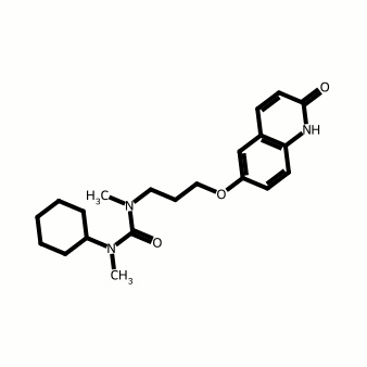 CN(CCCOc1ccc2[nH]c(=O)ccc2c1)C(=O)N(C)C1CCCCC1